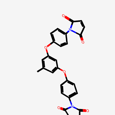 Cc1cc(Oc2ccc(N3C(=O)C=CC3=O)cc2)cc(Oc2ccc(N3C(=O)C=CC3=O)cc2)c1